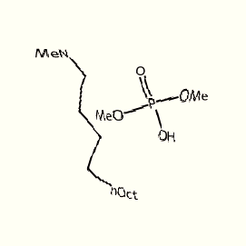 CCCCCCCCCCCCNC.COP(=O)(O)OC